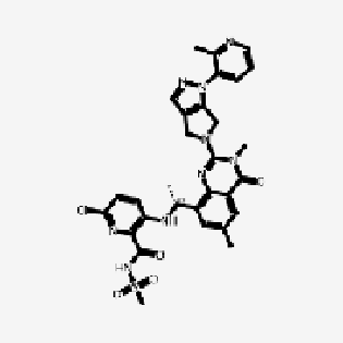 Cc1cc([C@@H](C)Nc2ccc(Cl)nc2C(=O)NS(C)(=O)=O)c2nc(N3Cc4cnn(-c5cccnc5C)c4C3)n(C)c(=O)c2c1